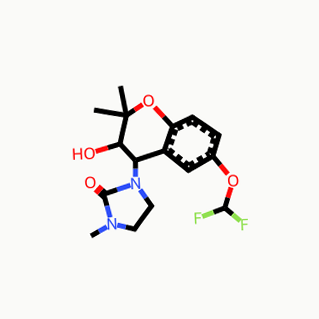 CN1CCN(C2c3cc(OC(F)F)ccc3OC(C)(C)C2O)C1=O